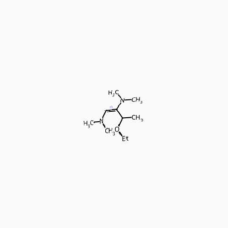 CCOC(C)/C(=[C]\N(C)C)N(C)C